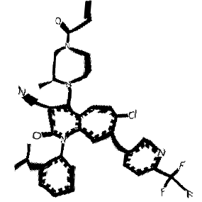 C=CC(=O)N1CCN(c2c(C#N)c(=O)n(-c3ccccc3C(C)C)c3cc(-c4ccc(C(F)(F)F)nc4)c(Cl)cc23)[C@@H](C)C1